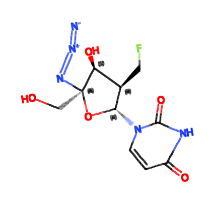 [N-]=[N+]=N[C@]1(CO)O[C@@H](n2ccc(=O)[nH]c2=O)[C@H](CF)[C@@H]1O